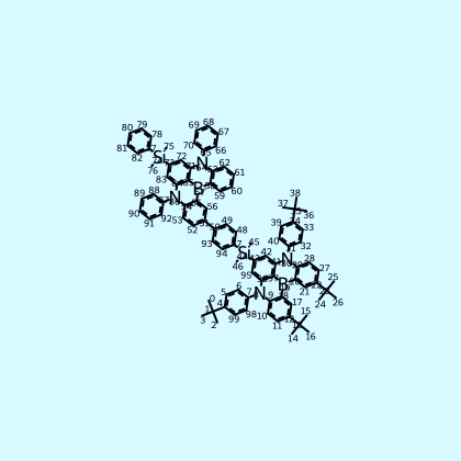 CC(C)(C)c1ccc(N2c3ccc(C(C)(C)C)cc3B3c4cc(C(C)(C)C)ccc4N(c4ccc(C(C)(C)C)cc4)c4cc([Si](C)(C)c5ccc(-c6ccc7c(c6)B6c8ccccc8N(c8ccccc8)c8cc([Si](C)(C)c9ccccc9)cc(c86)N7c6ccccc6)cc5)cc2c43)cc1